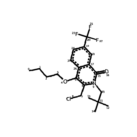 CCCCOc1c(CCl)n(CC(C)(C)C)c(=O)c2cc(C(F)(F)F)ccc12